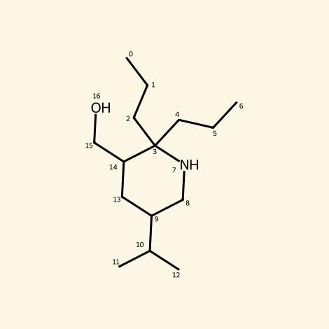 CCCC1(CCC)NCC(C(C)C)CC1CO